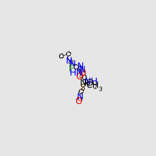 C[C@H](CCSc1ccc(N2CCOCC2)cc1)Nc1ccc(S(=O)(=O)Nc2ncnc3cc(N4CCN(Cc5ccccc5-c5ccccc5)CC4)c(F)cc23)cc1[N+](=O)[O-]